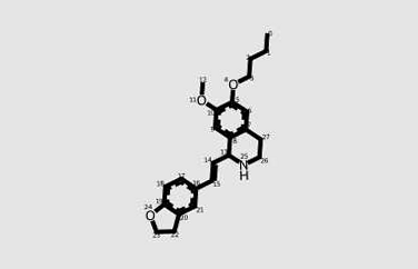 CCCCOc1cc2c(cc1OC)C(/C=C/c1ccc3c(c1)CCO3)NCC2